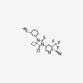 C/N=C/c1cccc(N2C(=S)N(c3cnc(C#N)c(C(F)(F)F)c3)C(=O)C23CCC3)c1